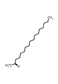 CCCCCCCCCCCCCCCC([14CH2])=O